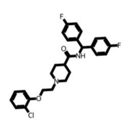 O=C(NC(c1ccc(F)cc1)c1ccc(F)cc1)C1CCN(CCOc2ccccc2Cl)CC1